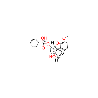 COc1ccc2c3c1O[C@H]1C(OC(=O)[C@@H](O)c4ccccc4)=CC[C@@]4(O)[C@H](CCC[C@]314)C2